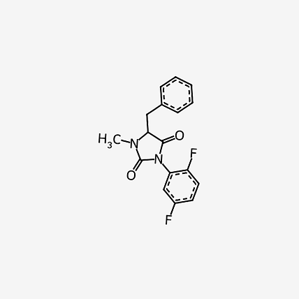 CN1C(=O)N(c2cc(F)ccc2F)C(=O)C1Cc1ccccc1